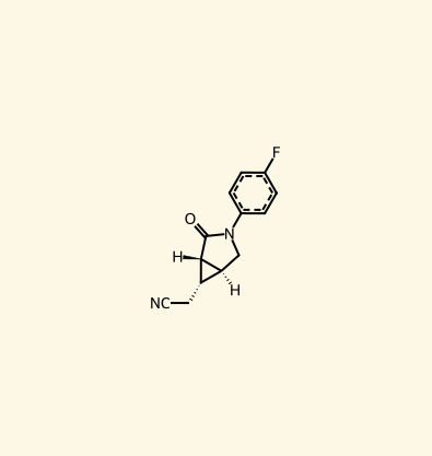 N#CC[C@H]1[C@@H]2CN(c3ccc(F)cc3)C(=O)[C@@H]12